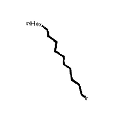 CCCCCCCCCCCCCCC[CH2][Ir]